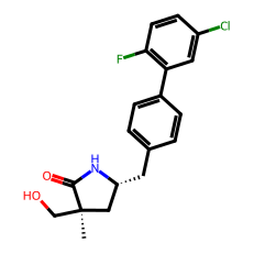 C[C@@]1(CO)C[C@@H](Cc2ccc(-c3cc(Cl)ccc3F)cc2)NC1=O